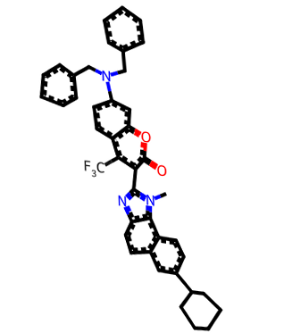 Cn1c(-c2c(C(F)(F)F)c3ccc(N(Cc4ccccc4)Cc4ccccc4)cc3oc2=O)nc2ccc3cc(C4CCCCC4)ccc3c21